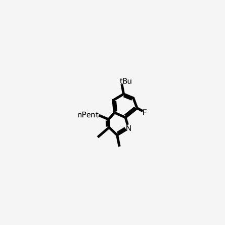 CCCCCc1c(C)c(C)nc2c(F)cc(C(C)(C)C)cc12